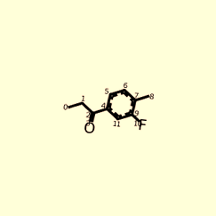 CCC(=O)c1ccc(C)c(F)c1